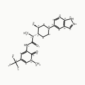 CN(C(=O)Nc1cc(C(F)(F)F)cn(C)c1=O)[C@H]1CCN(c2cnc3[nH]ncc3c2)C[C@@H]1F